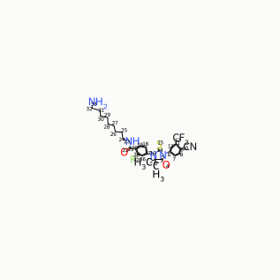 CC1(C)C(=O)N(c2ccc(C#N)c(C(F)(F)F)c2)C(=S)N1c1ccc(C(=O)NCCCCCCCCCN)c(F)c1